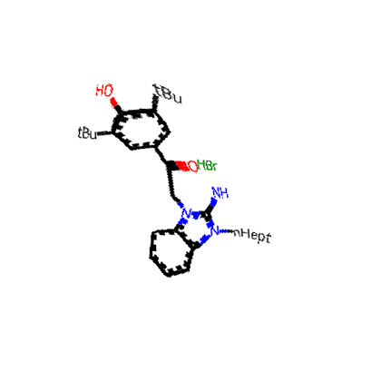 Br.CCCCCCCn1c(=N)n(CC(=O)c2cc(C(C)(C)C)c(O)c(C(C)(C)C)c2)c2ccccc21